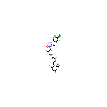 CC(C=CC1=C(C)CCCC1(C)C)=CC=CC(C)=CC(=O)NNc1ccc(Br)cc1